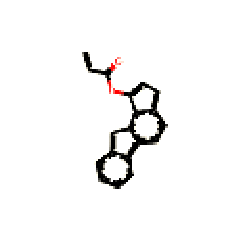 C=CC(=O)OC1=CC=c2ccc3c(c21)C=c1ccccc1=3